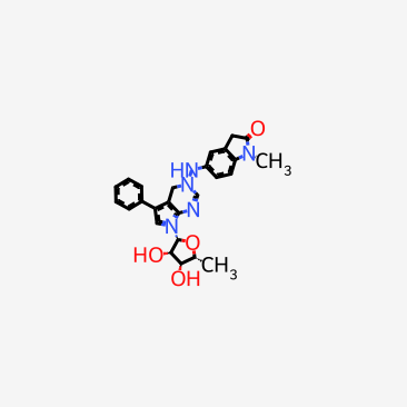 C[C@H]1O[C@@H](n2cc(-c3ccccc3)c3c2N=CN(Nc2ccc4c(c2)CC(=O)N4C)C3)[C@H](O)[C@@H]1O